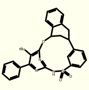 CC(C)(C)c1c2nc(nc1-c1ccccc1)NS(=O)(=O)c1cccc(c1)C1Cc3ccccc3C(C1)O2